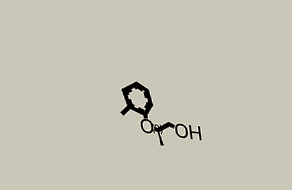 Cc1ccccc1O[C@H](C)CO